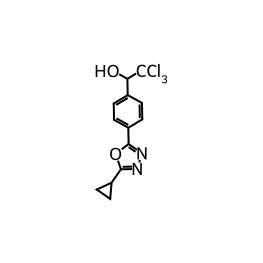 OC(c1ccc(-c2nnc(C3CC3)o2)cc1)C(Cl)(Cl)Cl